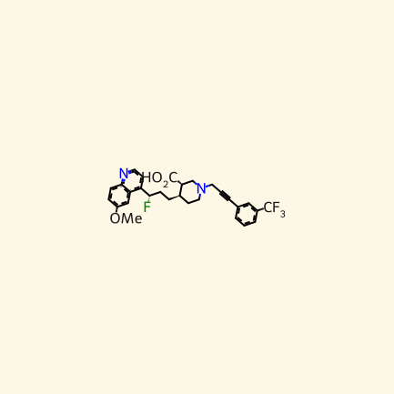 COc1ccc2nccc([C@@H](F)CC[C@@H]3CCN(CC#Cc4cccc(C(F)(F)F)c4)C[C@@H]3C(=O)O)c2c1